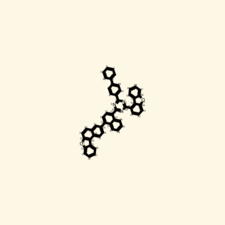 c1ccc(-c2ccc(-c3nc(-c4ccc(-c5ccc6c(ccc7oc8ccccc8c76)c5)c5ccccc45)nc(-c4cccc5oc6ccccc6c45)n3)cc2)cc1